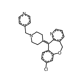 Clc1ccc2c(c1)OCc1cccnc1C2=C1CCN(Cc2ccncc2)CC1